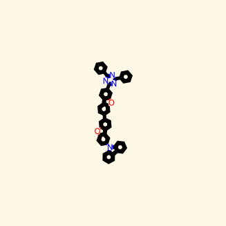 c1ccc(-c2nc(-c3ccccc3)nc(-c3ccc4c(c3)oc3cc(-c5ccc6c(c5)oc5ccc(-n7c8ccccc8c8ccccc87)cc56)ccc34)n2)cc1